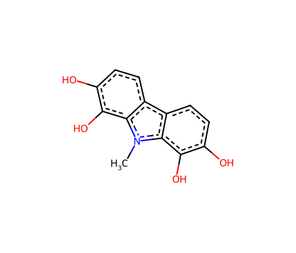 Cn1c2c(O)c(O)ccc2c2ccc(O)c(O)c21